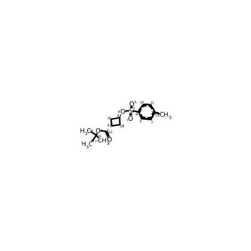 Cc1ccc(S(=O)(=O)O[C@H]2C[C@@H](C(=O)OC(C)(C)C)C2)cc1